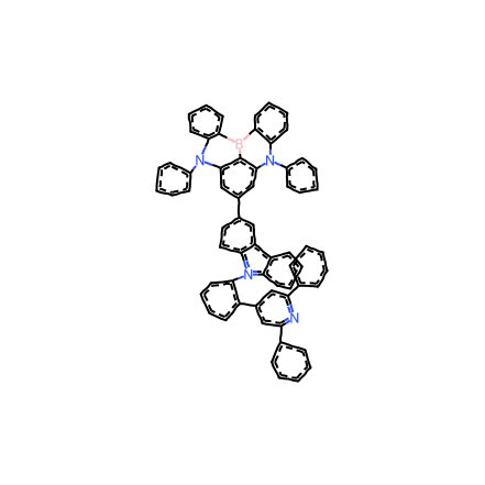 c1ccc(-c2cc(-c3ccccc3-n3c4ccccc4c4cc(-c5cc6c7c(c5)N(c5ccccc5)c5ccccc5B7c5ccccc5N6c5ccccc5)ccc43)cc(-c3ccccc3)n2)cc1